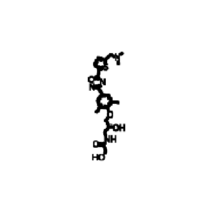 Cc1cc(-c2noc(-c3ccc(CN(C)C)s3)n2)cc(C)c1OC[C@@H](O)CNC(=O)CO